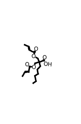 CC=CC(=O)OCC(CCCCCC)(COC(=O)C=CC)C(=O)O